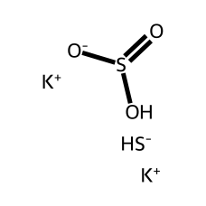 O=S([O-])O.[K+].[K+].[SH-]